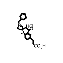 Cl.O=C(O)/C=C/c1ccc2c(c1)C(=O)CC1(CCN(Cc3ccccc3)C1)O2